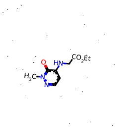 CCOC(=O)CNc1ccnn(C)c1=O